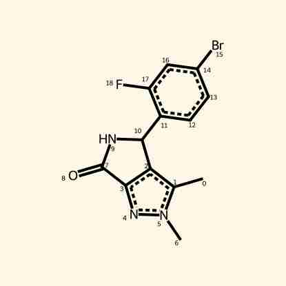 Cc1c2c(nn1C)C(=O)NC2c1ccc(Br)cc1F